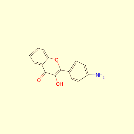 Nc1ccc(-c2oc3ccccc3c(=O)c2O)cc1